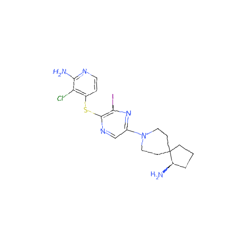 Nc1nccc(Sc2ncc(N3CCC4(CCC[C@H]4N)CC3)nc2I)c1Cl